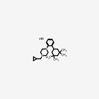 Br.CC1(C)CC(c2ccccc2N2CCN(CC3CC3)CC2)CC(C)(C)C1